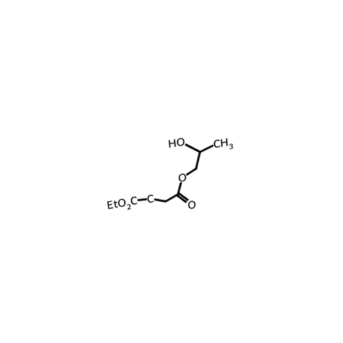 CCOC(=O)CCC(=O)OCC(C)O